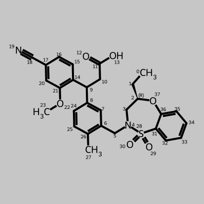 CC[C@@H]1CN(Cc2cc(C(CC(=O)O)c3ccc(C#N)cc3OC)ccc2C)S(=O)(=O)c2ccccc2O1